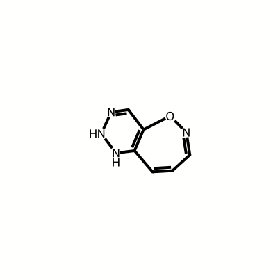 c1cnoc2cn[nH][nH]c=2c1